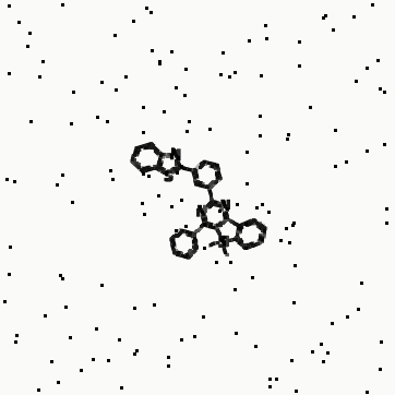 C[Si]1(C)c2ccccc2-c2nc(-c3cccc(-c4nc5ccccc5s4)c3)nc(-c3ccccc3)c21